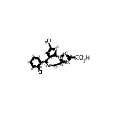 CCc1cc2c(s1)-n1nc(C(=O)O)nc1CN=C2c1ccccc1Cl